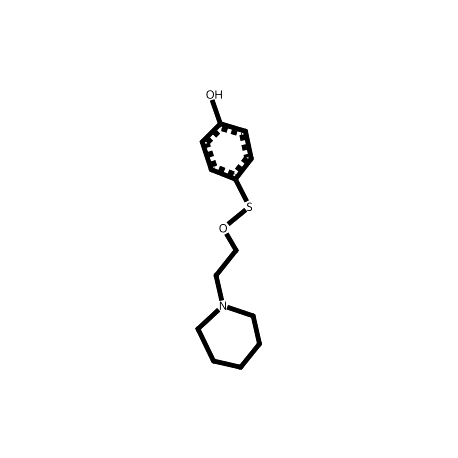 Oc1ccc(SOCCN2CCCCC2)cc1